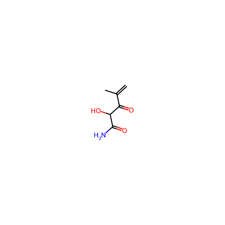 C=C(C)C(=O)C(O)C(N)=O